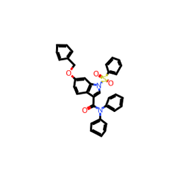 O=C(c1cn(S(=O)(=O)c2ccccc2)c2cc(OCc3ccccc3)ccc12)N(c1ccccc1)c1ccccc1